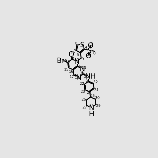 CS(=O)(=O)c1sccc1Cn1c(=O)c(Br)cc2cnc(Nc3ccc(C4CCNCC4)cc3)nc21